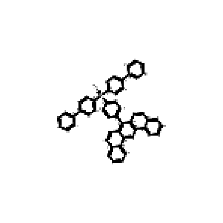 O=P(c1ccc(-c2ccccc2)cc1)(c1ccc(-c2ccccc2)cc1)c1ccc(-c2c3ccc4ccccc4c3cc3c2ccc2ccccc23)cc1